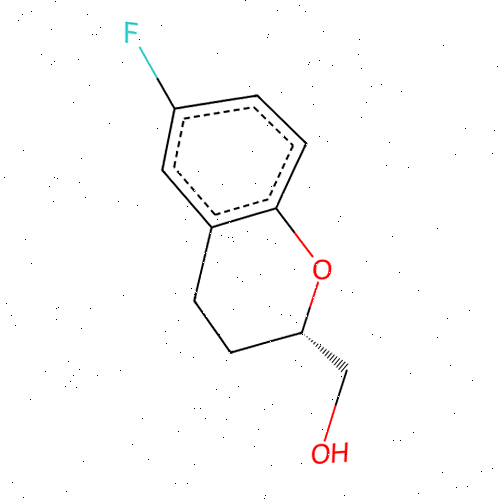 OC[C@@H]1CCc2cc(F)ccc2O1